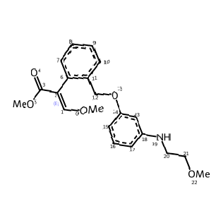 CO/C=C(/C(=O)OC)c1ccccc1COc1cccc(NCCOC)c1